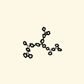 c1ccc(N(c2ccc(-c3ccc(N(c4ccc(-c5ccc(N(c6ccccc6)c6ccc(-n7c8ccccc8c8ccccc87)cc6)cc5)cc4)c4ccc(-c5ccc6c(c5)c5ccccc5n6-c5ccccc5)cc4)cc3)cc2)c2ccc(-n3c4ccccc4c4ccccc43)cc2)cc1